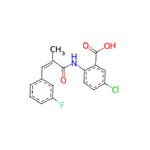 CC(=Cc1cccc(F)c1)C(=O)Nc1ccc(Cl)cc1C(=O)O